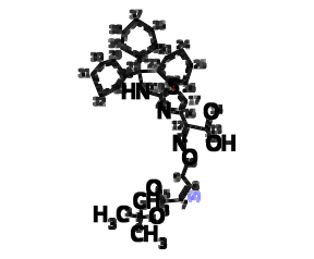 CC(C)(C)OC(=O)/C=C\CON=C(C(=O)O)c1csc(NC(c2ccccc2)(c2ccccc2)c2ccccc2)n1